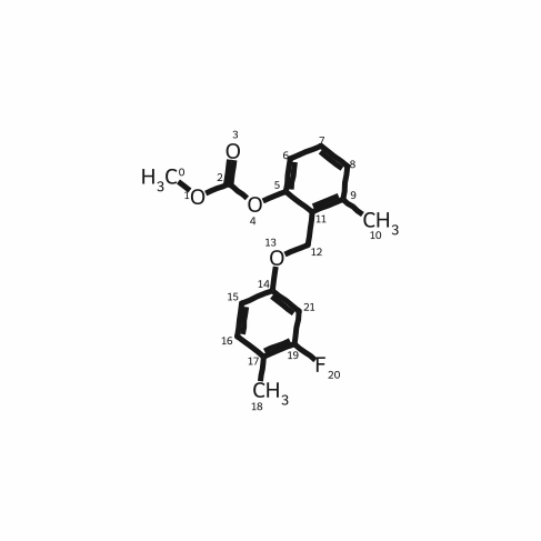 COC(=O)Oc1cccc(C)c1COc1ccc(C)c(F)c1